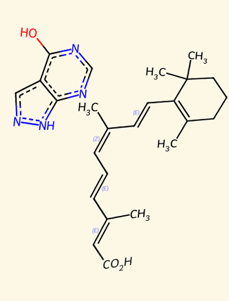 CC1=C(/C=C/C(C)=C\C=C\C(C)=C\C(=O)O)C(C)(C)CCC1.Oc1ncnc2[nH]ncc12